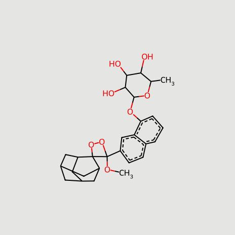 COC1(c2ccc3cccc(OC4OC(C)C(O)C(O)C4O)c3c2)OOC12C1CC3CC(C1)CC2C3